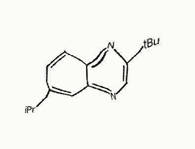 CC(C)c1ccc2nc(C(C)(C)C)cnc2c1